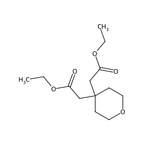 CCOC(=O)CC1(CC(=O)OCC)CCOCC1